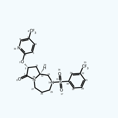 O=C1[C@H](Oc2ccc(C(F)(F)F)cn2)C[C@H]2CN(S(=O)(=O)c3cccc(C(F)(F)F)c3)CCCN12